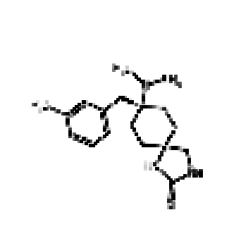 Cc1cccc(C[C@]2(N(C)C)CC[C@@]3(CC2)CNC(=O)N3)c1